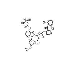 O=C(CP(=O)(O)O)OC1=C2OC3C(OC(=O)Cc4ccccc4Nc4c(Cl)cccc4Cl)CC[C@]4(O)C5CCN(CC6CC6)C4CC(C=C1)C2C35